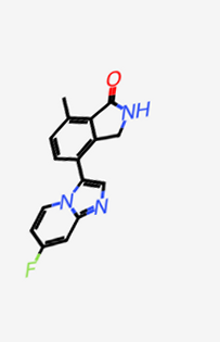 Cc1ccc(-c2cnc3cc(F)ccn23)c2c1C(=O)NC2